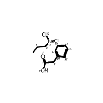 CCCN(Cl)Cl.O=C(O)Cc1ccccc1